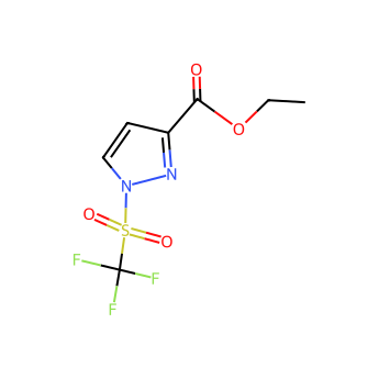 CCOC(=O)c1ccn(S(=O)(=O)C(F)(F)F)n1